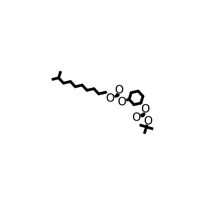 CC(C)CCCCCCCCOC(=O)OC1CCCC(OC(=O)OC(C)(C)C)C1